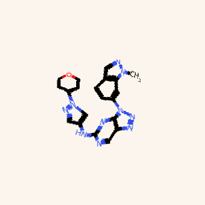 Cn1ncc2ccc(N3N=NC4C=NC(Nc5cnn(C6CCOCC6)c5)=NC43)cc21